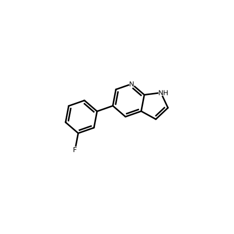 Fc1cccc(-c2cnc3[nH]ccc3c2)c1